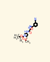 COC[C@H]1CC(NC(=O)c2nnc(-c3cccc(C#N)c3)o2)CN1C(=O)OC(C)(C)C